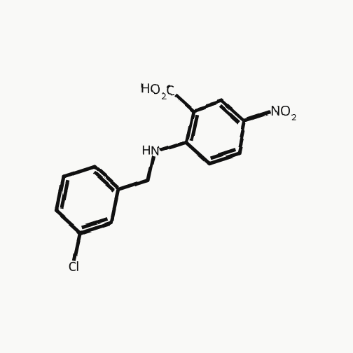 O=C(O)c1cc([N+](=O)[O-])ccc1NCc1cccc(Cl)c1